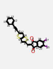 O=C1C(=Cc2cc3sc(C#Cc4ccccc4)cc3s2)C(=O)c2cc(I)c(I)cc21